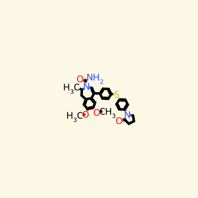 COc1cc2c(cc1OC)C(c1ccc(Sc3ccc(N4CCCC4=O)cc3)cc1)=CN(C(N)=O)C(C)C2